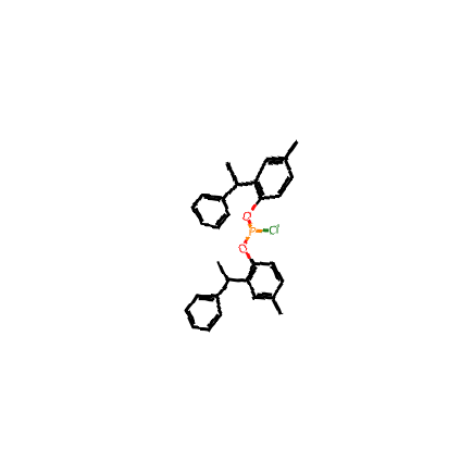 Cc1ccc(OP(Cl)Oc2ccc(C)cc2C(C)c2ccccc2)c(C(C)c2ccccc2)c1